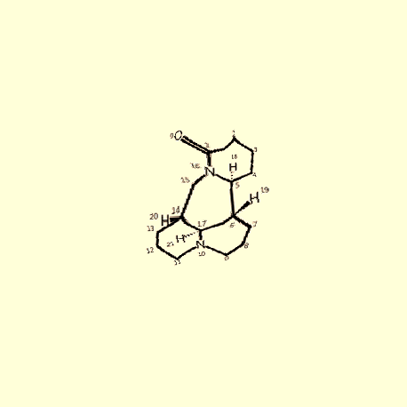 O=C1CCC[C@H]2[C@@H]3CCCN4CCC[C@H](CN12)[C@@H]34